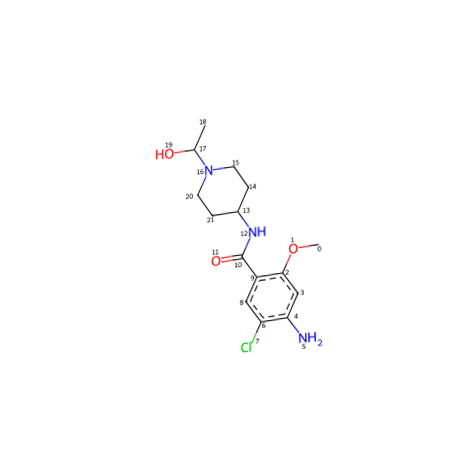 COc1cc(N)c(Cl)cc1C(=O)NC1CCN(C(C)O)CC1